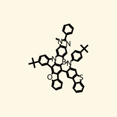 Cn1c(-c2ccccc2)nc2cc3c(cc21)-n1c2ccc(C(C)(C)C)cc2c2c4oc5ccccc5c4c4c(c21)B3N(c1ccc(C(C)(C)C)cc1)c1cc2sc3ccccc3c2cc1-4